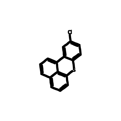 Clc1ccc2c(c1)-c1cccc3cccc(c13)S2